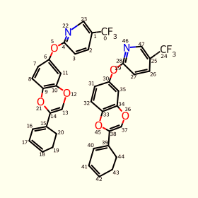 FC(F)(F)c1ccc(Oc2ccc3c(c2)OC=C(C2=CC=CCC2)O3)nc1.FC(F)(F)c1ccc(Oc2ccc3c(c2)OC=C(C2=CC=CCC2)O3)nc1